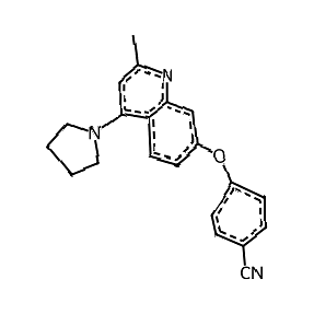 Cc1cc(N2CCCC2)c2ccc(Oc3ccc(C#N)cc3)cc2n1